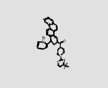 O=C(C1C=c2c(ccc3c2=CCc2ccccc2-3)C(C2=CC=CC=CN2)C1)C1CCN(c2nccc(C(F)(F)F)n2)CC1